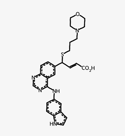 O=C(O)C=CC(SCCCN1CCOCC1)c1ccc2ncnc(Nc3ccc4[nH]ccc4c3)c2c1